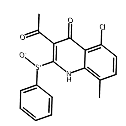 CC(=O)c1c([S+]([O-])c2ccccc2)[nH]c2c(C)ccc(Cl)c2c1=O